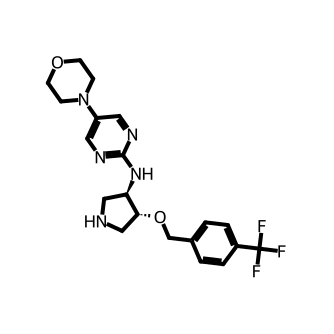 FC(F)(F)c1ccc(CO[C@@H]2CNC[C@H]2Nc2ncc(N3CCOCC3)cn2)cc1